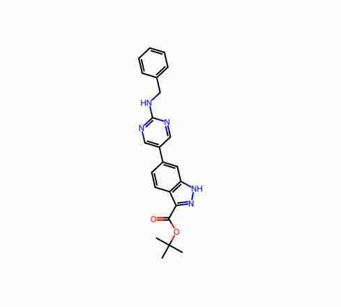 CC(C)(C)OC(=O)c1n[nH]c2cc(-c3cnc(NCc4ccccc4)nc3)ccc12